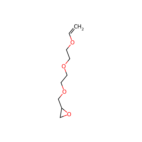 C=COCCOCCOCC1CO1